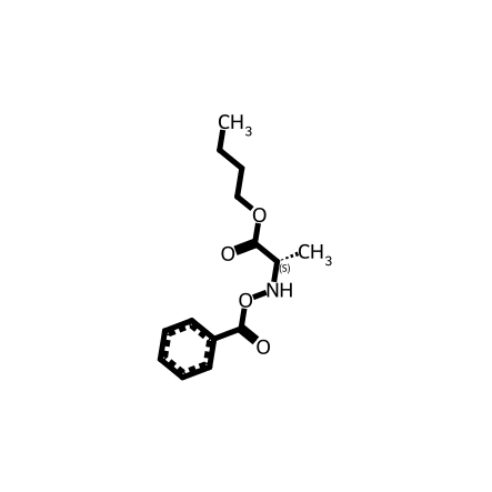 CCCCOC(=O)[C@H](C)NOC(=O)c1ccccc1